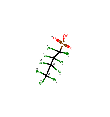 O=S(=O)(O)C(Br)(Br)C(Br)(Br)C(Br)(Br)C(Br)(Br)Br